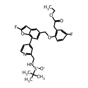 CCOC(=O)Cc1cc(F)ccc1OCc1cc(-c2ccnc(CN[S+]([O-])C(C)(C)C)c2)c2oc(F)cc2c1